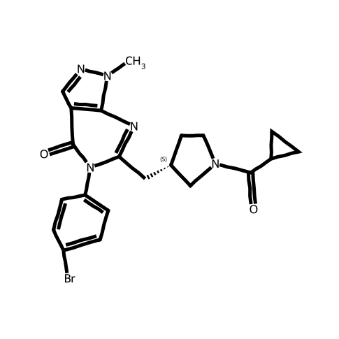 Cn1ncc2c(=O)n(-c3ccc(Br)cc3)c(C[C@@H]3CCN(C(=O)C4CC4)C3)nc21